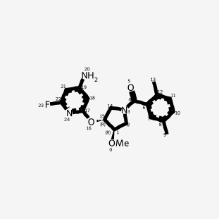 CO[C@@H]1CN(C(=O)c2cc(C)ccc2C)C[C@H]1Oc1cc(N)cc(F)n1